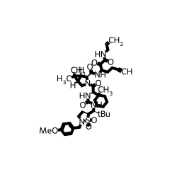 C#CCCC(NC(=O)[C@@H]1[C@@H]2[C@H](CN1C(=O)[C@@H](NC(=O)N[C@@H]([C@@H]1CCN(Cc3ccc(OC)cc3)S1(=O)=O)C(C)(C)C)C1(C)CCCCC1)C2(C)C)C(=O)C(=O)NCC=C